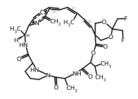 C=c1nc2cc/c1=C/C=C(C)/C=C/C1(COC(CF)(CF)OC1)C(=O)OC(C(C)C)C(=O)NC(C)C(=O)N1CCCC(N1)C(=O)N[C@@H]2C